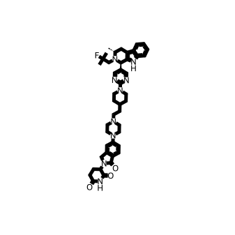 C[C@@H]1Cc2c([nH]c3ccccc23)[C@@H](c2cnc(N3CCC(CCN4CCN(c5ccc6c(c5)CN(C5CCC(=O)NC5=O)C6=O)CC4)CC3)nc2)N1CC(C)(C)F